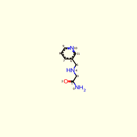 NC(=O)CNCc1cccnc1